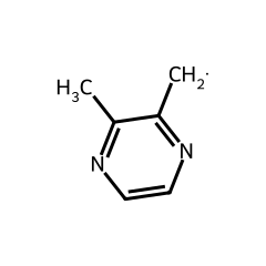 [CH2]c1nccnc1C